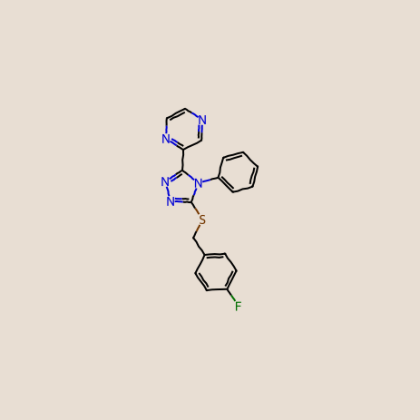 Fc1ccc(CSc2nnc(-c3cnccn3)n2-c2ccccc2)cc1